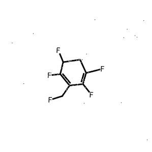 FCC1=C(F)C(F)[CH]C(F)=C1F